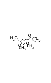 C=CCc1cc(/C=C/C(=O)C2C=CC(=S)C=C2)c(OC)cc1OC